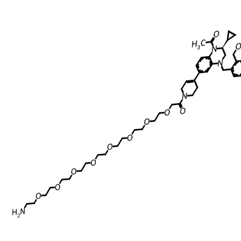 CC(=O)N1c2ccc(C3=CCN(C(=O)COCCOCCOCCOCCOCCOCCOCCOCCN)CC3)cc2N(Cc2ccccc2CO)C[C@@H]1C1CC1